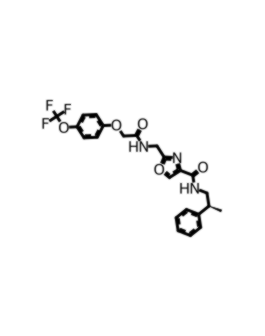 C[C@H](CNC(=O)c1coc(CNC(=O)COc2ccc(OC(F)(F)F)cc2)n1)c1ccccc1